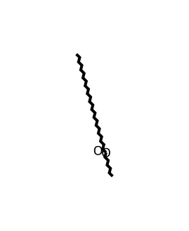 CCCCCCCCCCCCCCCCCCCCCCCCC(=O)OCCCCCC